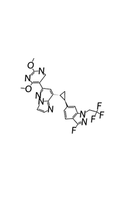 COc1ncc(-c2cc([C@@H]3C[C@H]3c3ccc4c(F)nn(CC(F)(F)F)c4c3)c3nccn3n2)c(OC)n1